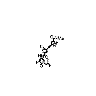 CNC(=O)c1cc(C#Cc2cc(C(=O)Nc3cc(F)c(=O)n(CC(F)F)c3)sc2Cl)nn1C